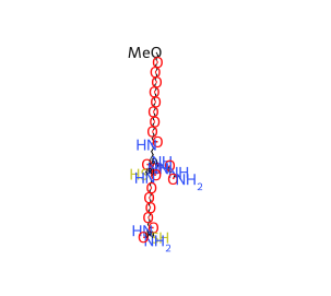 COCCOCCOCCOCCOCCOCCOCCOCCOCCC(=O)NCCCC[C@H](NC(=O)CNC(=O)CNC(=O)CN)C(=O)N[C@@H](CS)C(=O)NCCOCCOCCOCCOCCC(=O)N[C@@H](CS)C(N)=O